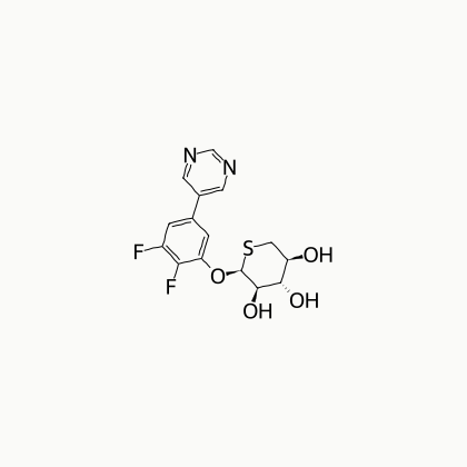 O[C@@H]1[C@@H](O)[C@@H](Oc2cc(-c3cncnc3)cc(F)c2F)SC[C@H]1O